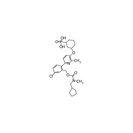 Cc1nc(-c2ccc(Cl)cc2COC(=O)N(C)CC2CCCC2)ccc1OC1CCCC(P(=O)(O)O)C1